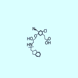 CC(C)(CC1Cc2ccccc2C1)NCC(O)COc1cc(CCC(=O)O)c(Cl)cc1C#N